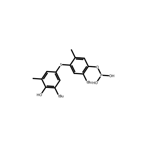 Cc1cc(OP(O)O)c(C(C)(C)C)cc1Sc1cc(C)c(O)c(C(C)(C)C)c1